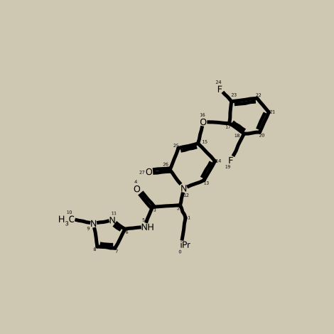 CC(C)CC(C(=O)Nc1ccn(C)n1)n1ccc(Oc2c(F)cccc2F)cc1=O